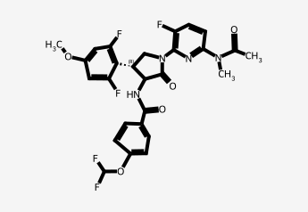 COc1cc(F)c([C@@H]2CN(c3nc(N(C)C(C)=O)ccc3F)C(=O)C2NC(=O)c2ccc(OC(F)F)cc2)c(F)c1